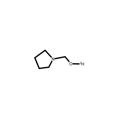 [2H]OCN1CCCC1